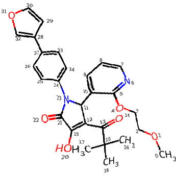 COCCOc1ncccc1C1C(C(=O)C(C)(C)C)=C(O)C(=O)N1c1ccc(-c2ccoc2)cc1